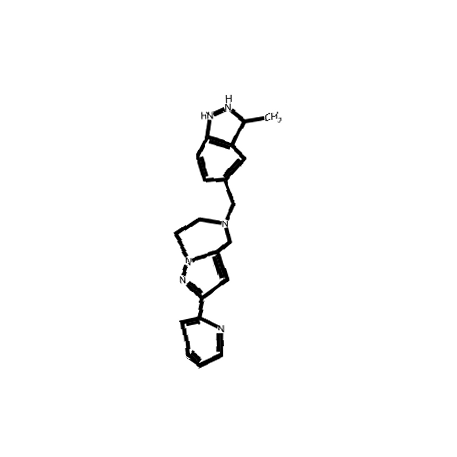 CC1NNc2ccc(CN3CCn4nc(-c5ccccn5)cc4C3)cc21